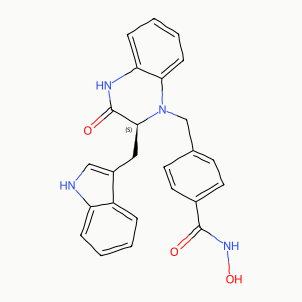 O=C(NO)c1ccc(CN2c3ccccc3NC(=O)[C@@H]2Cc2c[nH]c3ccccc23)cc1